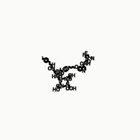 C[C@H](NC(=O)[C@H](CCCNC(=O)CCCc1ccc(I)cc1)NC(=O)CN1CCN(CC(=O)O)CCN(CC(=O)O)CCN(CC(=O)O)CC1)C(=O)N1CCN(CCCCOc2ccc3nccc(C(=O)NCC(=O)N4CC(F)(F)C[C@@H]4C#N)c3c2)CC1